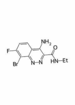 CCNC(=O)c1nnc2c(Br)c(F)ccc2c1N